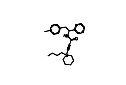 CCCC[Si]1(C#CC(=O)NC(Cc2ccc(C)cc2)c2ccccc2)CCCCC1